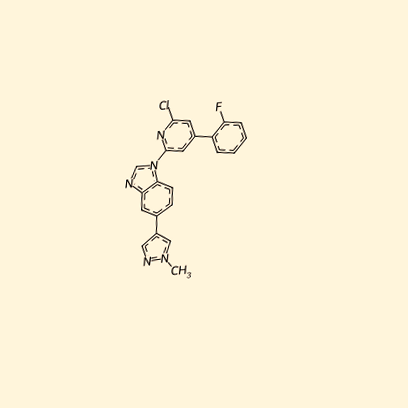 Cn1cc(-c2ccc3c(c2)ncn3-c2cc(-c3ccccc3F)cc(Cl)n2)cn1